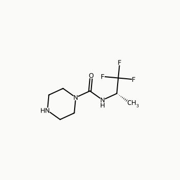 C[C@H](NC(=O)N1CCNCC1)C(F)(F)F